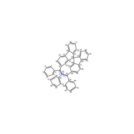 C=C(c1ccccc1)c1ccc2c(c1)C1(c3ccccc3-2)c2ccccc2-c2ccc(/C(=N/c3ccccc3)c3ccccc3)cc21